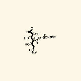 O.O.O=C([O-])[C@H](O)[C@@H](O)[C@H](O)[C@H](O)CO.[Mo].[Na+].[Na+].[Na+].[OH-].[OH-]